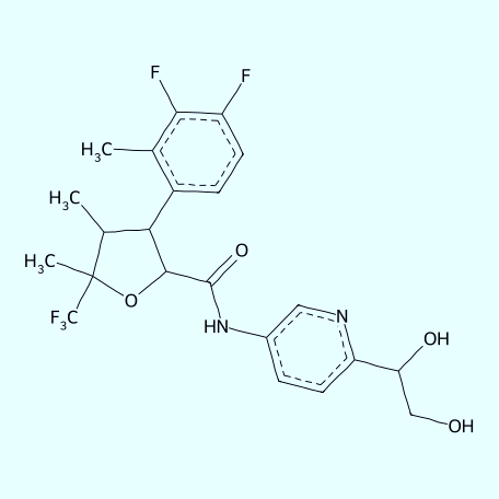 Cc1c(C2C(C(=O)Nc3ccc(C(O)CO)nc3)OC(C)(C(F)(F)F)C2C)ccc(F)c1F